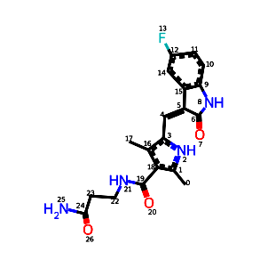 Cc1[nH]c(/C=C2\C(=O)Nc3ccc(F)cc32)c(C)c1C(=O)NCCC(N)=O